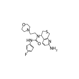 Nc1ccc2c(n1)CSCC2N(CCN1CCOCC1)C(=O)Nc1ccc(F)cc1